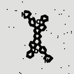 c1cncc(-c2ccc(-c3cc4cc5c(cc(-c6ccc(-c7cccnc7)cc6)c6c5ccc5c7ccccc7oc56)cc4c4ccc5c6ccccc6oc5c34)cc2)c1